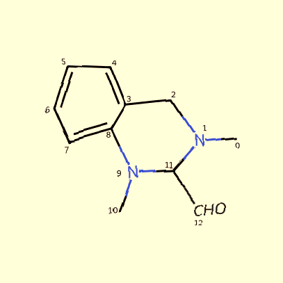 CN1Cc2ccccc2N(C)C1C=O